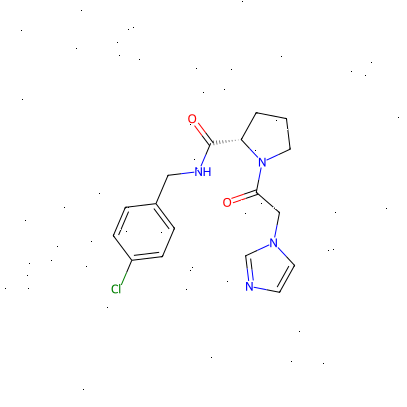 O=C(NCc1ccc(Cl)cc1)[C@@H]1CCCN1C(=O)Cn1ccnc1